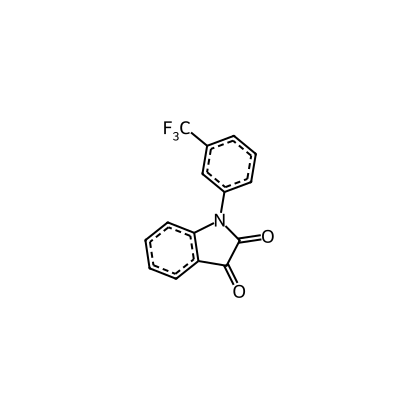 O=C1C(=O)N(c2cccc(C(F)(F)F)c2)c2ccccc21